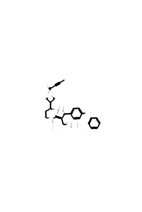 CC#CC(=O)N1CC(C2CCNc3c(C(N)=O)c(-c4ccc(Oc5ccccc5)cc4)nn32)C1